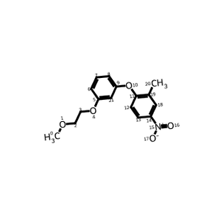 COCCOc1cccc(Oc2ccc([N+](=O)[O-])cc2C)c1